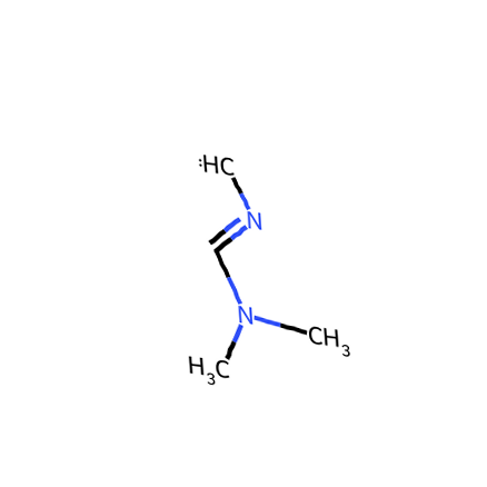 [CH]/N=C/N(C)C